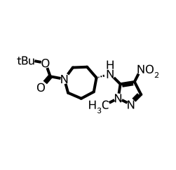 Cn1ncc([N+](=O)[O-])c1N[C@@H]1CCCN(C(=O)OC(C)(C)C)CC1